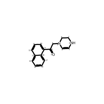 O=C(CN1C=CNCC1)c1cccc2ccccc12